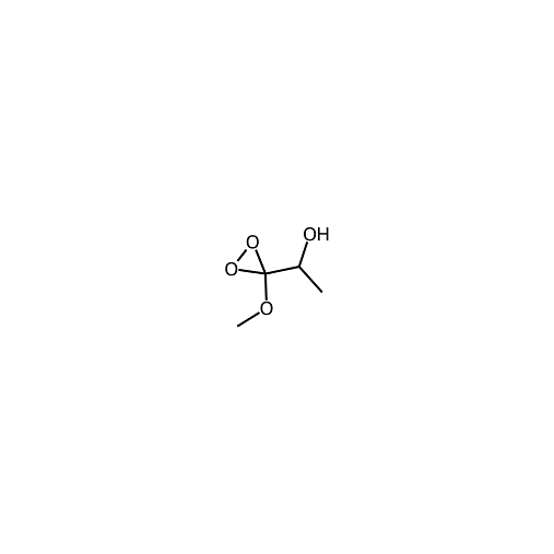 COC1(C(C)O)OO1